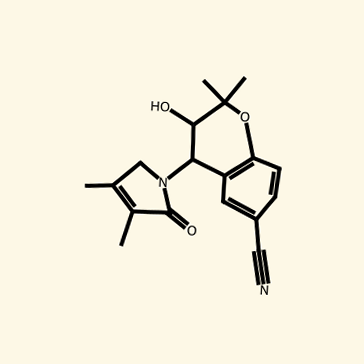 CC1=C(C)C(=O)N(C2c3cc(C#N)ccc3OC(C)(C)C2O)C1